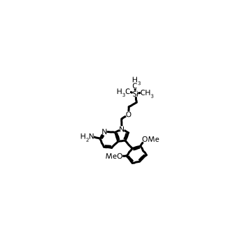 COc1cccc(OC)c1-c1cn(COCC[Si](C)(C)C)c2nc(N)ccc12